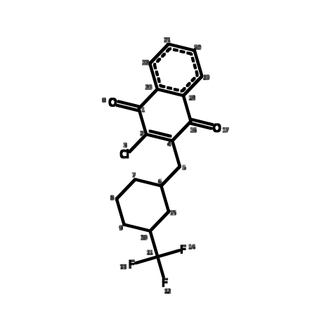 O=C1C(Cl)=C(CC2CCCC(C(F)(F)F)C2)C(=O)c2ccccc21